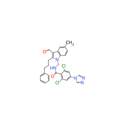 Cc1ccc2c(c1)c(C=O)c(CCCc1ccccc1)n2CNC(=O)c1c(Cl)cc(-n2cnnc2)cc1Cl